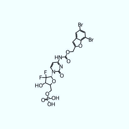 O=C(Nc1ccn([C@@H]2OC(COP(=O)(O)O)[C@@H](O)C2(F)F)c(=O)n1)OCc1cc2cc(Br)cc(Br)c2o1